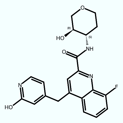 O=C(N[C@H]1CCOC[C@@H]1O)c1cc(Cc2ccnc(O)c2)c2cccc(F)c2n1